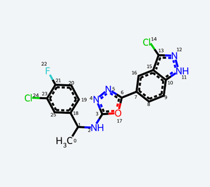 CC(Nc1nnc(-c2ccc3[nH]nc(Cl)c3c2)o1)c1ccc(F)c(Cl)c1